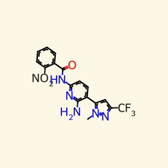 Cn1nc(C(F)(F)F)cc1-c1ccc(NC(=O)c2ccccc2[N+](=O)[O-])nc1N